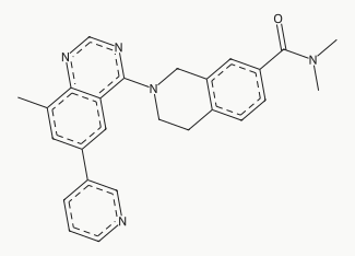 Cc1cc(-c2cccnc2)cc2c(N3CCc4ccc(C(=O)N(C)C)cc4C3)ncnc12